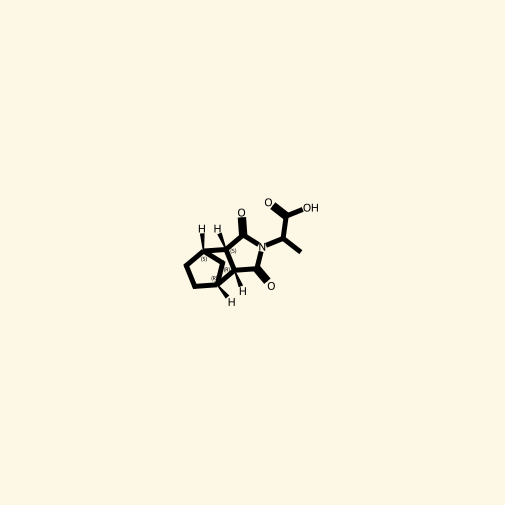 CC(C(=O)O)N1C(=O)[C@@H]2[C@@H]3CC[C@@H](C3)[C@@H]2C1=O